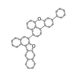 c1ccc(-c2ccc3c(c2)Oc2cccc4c(-c5cc6ccccc6c6c5oc5cc7ccccc7cc56)ccc-3c24)cc1